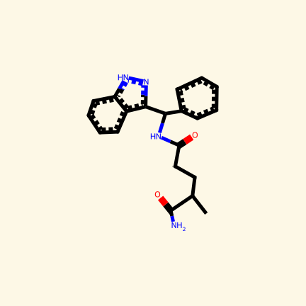 CC(C[CH]C(=O)NC(c1ccccc1)c1n[nH]c2ccccc12)C(N)=O